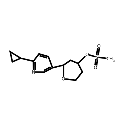 CS(=O)(=O)OC1CCOC(c2ccc(C3CC3)nc2)C1